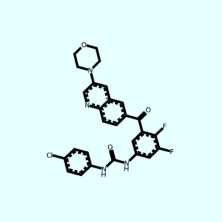 O=C(Nc1ccc(Cl)cc1)Nc1cc(F)c(F)c(C(=O)c2ccc3ncc(N4CCOCC4)cc3c2)c1